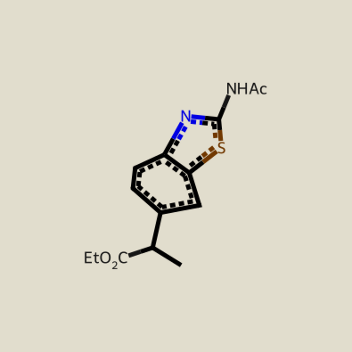 CCOC(=O)C(C)c1ccc2nc(NC(C)=O)sc2c1